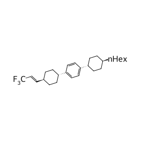 CCCCCC[C@H]1CC[C@H](c2ccc([C@H]3CC[C@H](/C=C/C(F)(F)F)CC3)cc2)CC1